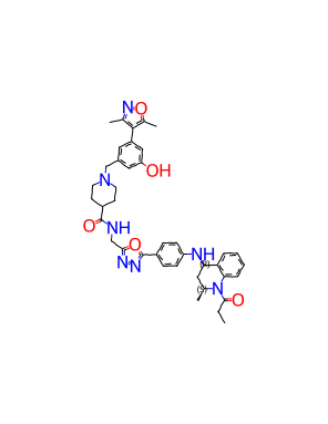 CCC(=O)N1c2ccccc2[C@H](Nc2ccc(-c3nnc(CNC(=O)C4CCN(Cc5cc(O)cc(-c6c(C)noc6C)c5)CC4)o3)cc2)C[C@@H]1C